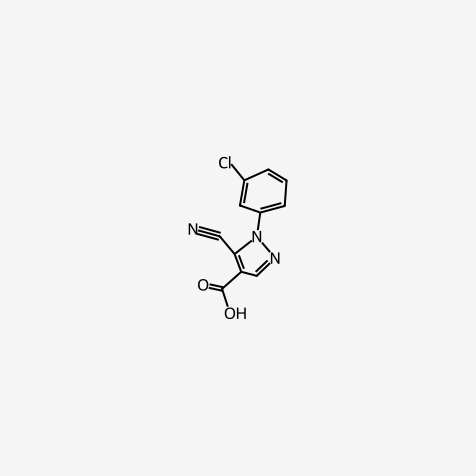 N#Cc1c(C(=O)O)cnn1-c1cccc(Cl)c1